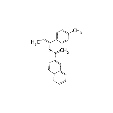 C=C(S/C(=C\C)c1ccc(C)cc1)c1ccc2ccccc2c1